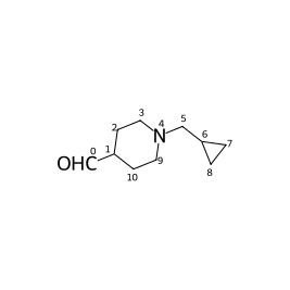 O=CC1CCN(CC2CC2)CC1